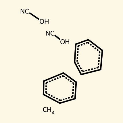 C.N#CO.N#CO.c1ccccc1.c1ccccc1